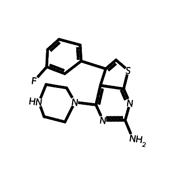 Nc1nc(N2CCNCC2)c2c(-c3cccc(F)c3)csc2n1